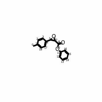 Cc1ccc(C2OC2C(=O)Oc2ccccc2)cc1